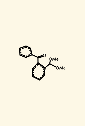 COC(OC)c1ccccc1C(=O)c1ccccc1